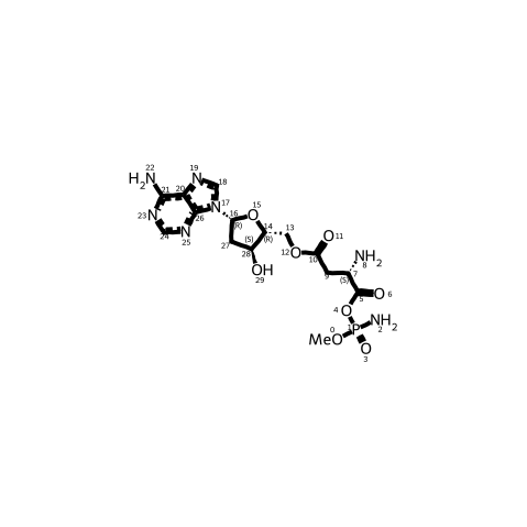 COP(N)(=O)OC(=O)[C@@H](N)CC(=O)OC[C@H]1O[C@@H](n2cnc3c(N)ncnc32)C[C@@H]1O